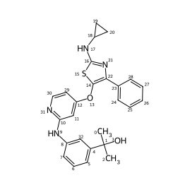 CC(C)(O)c1cccc(Nc2cc(Oc3sc(NC4CC4)nc3-c3ccccc3)ccn2)c1